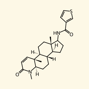 CN1C(=O)C=C[C@]2(C)[C@H]3CC[C@]4(C)C(NC(=O)c5ccsc5)CC[C@H]4[C@@H]3CC[C@@H]12